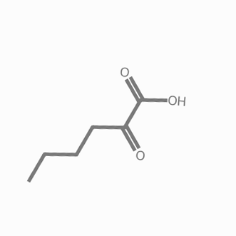 CCCCC(=O)C(=O)O